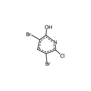 Oc1nc(Cl)c(Br)cc1Br